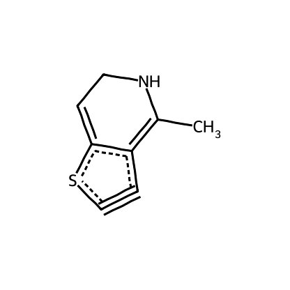 CC1=c2c#csc2=CCN1